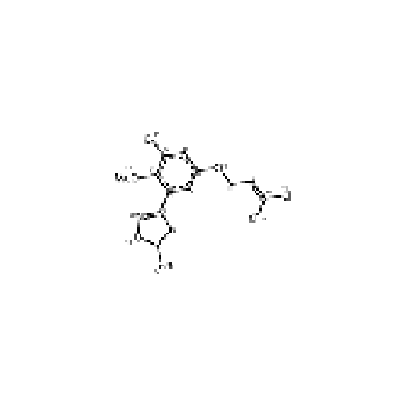 CCCCC1CC(c2cc(OCC=C(Cl)Cl)cc(Cl)c2OC)=NO1